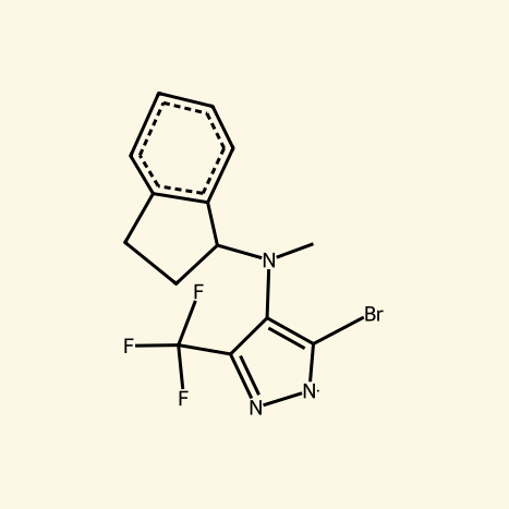 CN(C1=C(Br)[N]N=C1C(F)(F)F)C1CCc2ccccc21